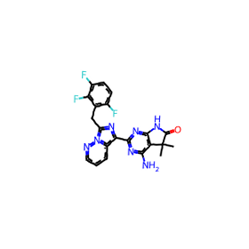 CC1(C)C(=O)Nc2nc(-c3nc(Cc4c(F)ccc(F)c4F)n4ncccc34)nc(N)c21